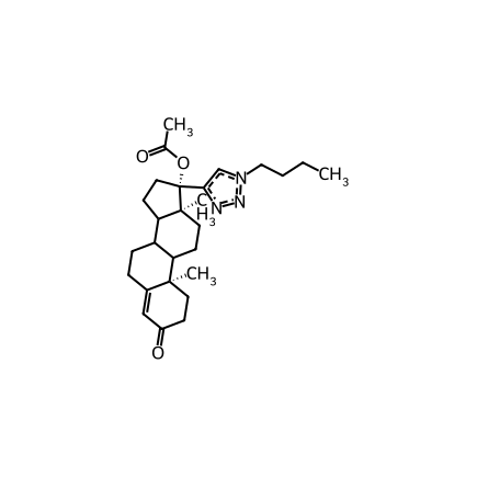 CCCCn1cc([C@]2(OC(C)=O)CCC3C4CCC5=CC(=O)CC[C@]5(C)C4CC[C@@]32C)nn1